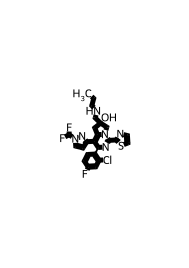 CCCNC[C@]1(O)CC2=C(c3ccn(C(F)F)n3)[C@H](c3ccc(F)cc3Cl)N=C(c3nccs3)N2C1